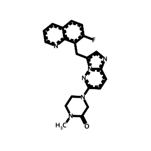 CN1CCN(c2ccc3ncc(Cc4c(F)ccc5cccnc45)n3n2)CC1=O